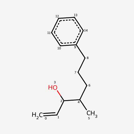 C=CC(O)C(C)CCCc1ccccc1